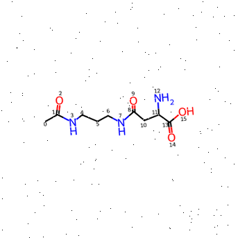 CC(=O)NCCCNC(=O)CC(N)C(=O)O